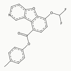 Cc1ccc(OC(=O)c2ccc(OC(F)F)c3oc4ccncc4c23)cc1